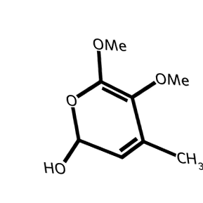 COC1=C(OC)C(C)=CC(O)O1